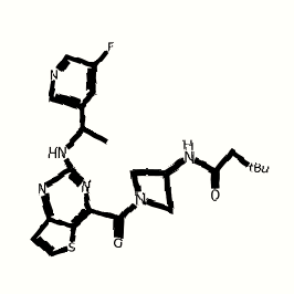 CC(Nc1nc(C(=O)N2CC(NC(=O)CC(C)(C)C)C2)c2sccc2n1)c1cncc(F)c1